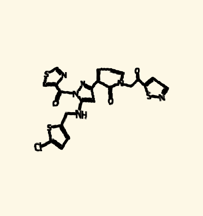 O=C(Cn1cccc(-c2cc(NCc3ccc(Cl)s3)n(C(=O)c3cscn3)n2)c1=O)c1ccns1